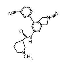 CN1CCCC(C(=O)Nc2cc3c(c(-c4cccc(C#N)c4)c2)CN(C#N)C3)C1